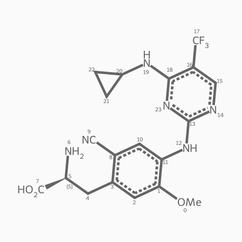 COc1cc(C[C@H](N)C(=O)O)c(C#N)cc1Nc1ncc(C(F)(F)F)c(NC2CC2)n1